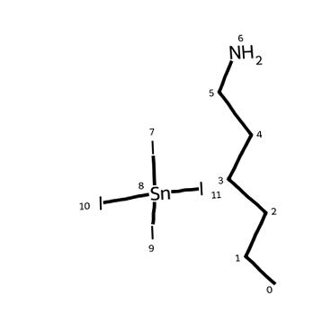 CCCCCCN.[I][Sn]([I])([I])[I]